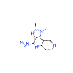 Cc1nc2c(N)nc3ccncc3c2n1C